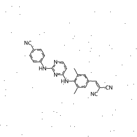 Cc1cc(C=C(C#N)C#N)cc(C)c1Nc1ccnc(Nc2ccc(C#N)cc2)n1